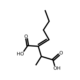 CCCC=C(C(=O)O)C(C)C(=O)O